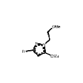 COCCn1nc(Br)cc1OC